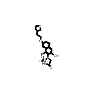 O=C1CN(c2c(O)cc3ccc(OCCC4CCOC4)cc3c2F)S(=O)(=O)N1